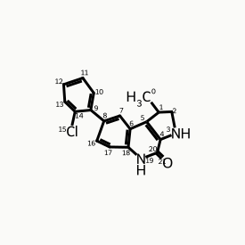 CC1CNc2c1c1cc(-c3ccccc3Cl)ccc1[nH]c2=O